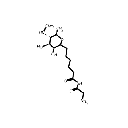 C[C@H]1O[C](CCCCCC(=O)NC(=O)CN)[C@@H](O)[C@@H](O)[C@@H]1NC=O